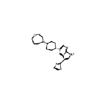 c1csc(-c2c[nH]c3ncc([C@H]4CC[C@H](N5CCCOCC5)CC4)cc23)n1